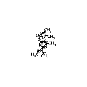 CCOP(=O)(OCC)Oc1cc(C)nc(N(CC)CC)n1